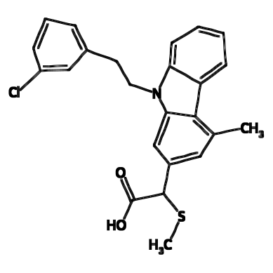 CSC(C(=O)O)c1cc(C)c2c3ccccc3n(CCc3cccc(Cl)c3)c2c1